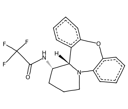 O=C(N[C@H]1CCCN2c3ccccc3Oc3ccccc3[C@@H]12)C(F)(F)F